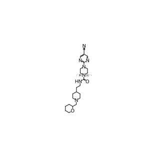 C[C@@H]1CN(c2ncc(C#N)cn2)C[C@H](C)N1C(=O)NCCC1CCN(CC2CCCCO2)CC1